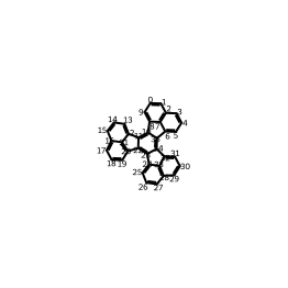 c1cc2cccc3c2c(c1)c1c2c4cccc5cccc(c54)c2c2c4cccc5cccc(c54)c2c31